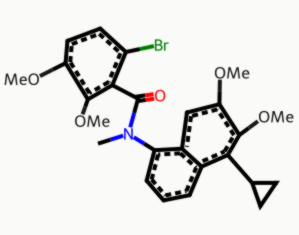 COc1ccc(Br)c(C(=O)N(C)c2cccc3c(C4CC4)c(OC)c(OC)cc23)c1OC